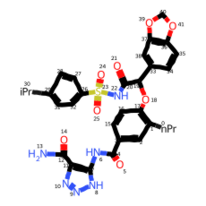 CCCc1cc(C(=O)Nc2[nH]nnc2C(N)=O)ccc1OC(C(=O)NS(=O)(=O)c1ccc(C(C)C)cc1)c1ccc2c(c1)OCO2